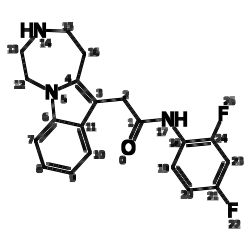 O=C(Cc1c2n(c3ccccc13)CCNCC2)Nc1ccc(F)cc1F